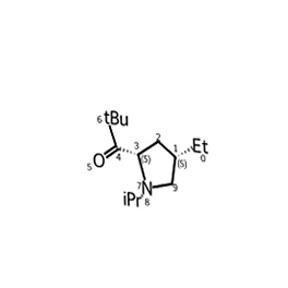 CC[C@H]1C[C@@H](C(=O)C(C)(C)C)N(C(C)C)C1